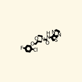 O=C(Nc1csc2nccnc12)N1CCOC(COc2cc(F)ccc2Cl)C1